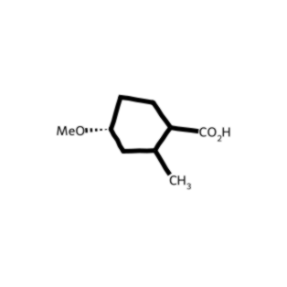 CO[C@@H]1CCC(C(=O)O)C(C)C1